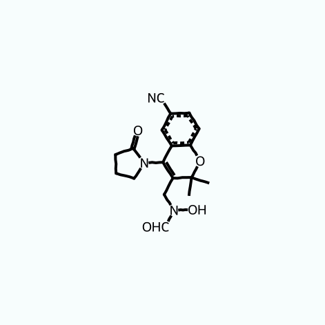 CC1(C)Oc2ccc(C#N)cc2C(N2CCCC2=O)=C1CN(O)C=O